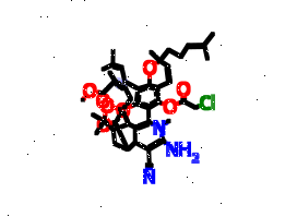 COC(=O)/C(C)=C\CC12OC(C)(C)C3CC(C1=O)C1C(C#N)=C(N)N(C)C4=C1C32Oc1c(CC=C(C)C)c2c(c(OC(=O)CCl)c14)C=CC(C)(CCC=C(C)C)O2